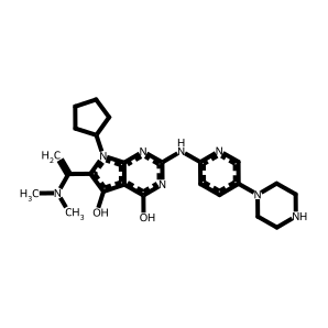 C=C(c1c(O)c2c(O)nc(Nc3ccc(N4CCNCC4)cn3)nc2n1C1CCCC1)N(C)C